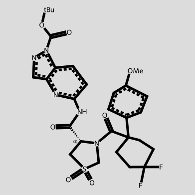 COc1ccc(C2(C(=O)N3CS(=O)(=O)C[C@@H]3C(=O)Nc3ccc4c(cnn4C(=O)OC(C)(C)C)n3)CCC(F)(F)CC2)cc1